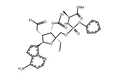 CCC(=O)C[C@H]1[C@H](c2ccc3c(N)ncnn23)O[C@](CF)(COP(=O)(N[C@@H](C)C(=O)OC)Oc2ccccc2)[C@H]1OC(=O)CC